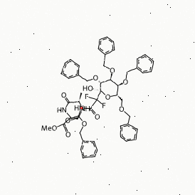 COC(=O)[C@H](CNC(=O)C(F)(F)[C@]1(O)O[C@H](COCc2ccccc2)[C@H](OCc2ccccc2)[C@H](OCc2ccccc2)[C@H]1OCc1ccccc1)NC(=O)[C@@H](C)NC(=O)OCc1ccccc1